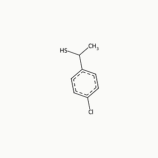 CC(S)c1ccc(Cl)cc1